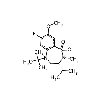 COc1cc2c(cc1F)N(C(C)(C)C)C[C@@H](C(C)C)N(C)S2(=O)=O